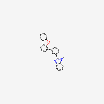 Cn1c(-c2cccc(-c3cccc4c3OC3C=CC=CC43)c2)nc2ccccc21